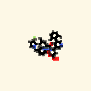 Cc1cccc(C)c1-c1cncc([C@H](CC(=O)O)NC(=O)[C@H](CC(C)C)n2cc(CN3CC[C@@H](F)C3)ccc2=O)c1